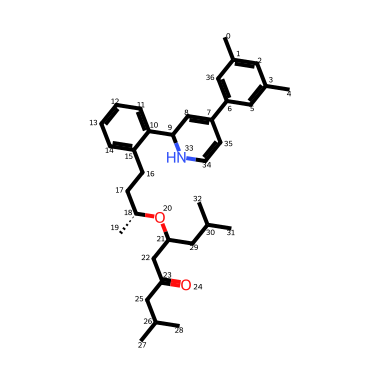 Cc1cc(C)cc(C2=CC(c3ccccc3CC[C@@H](C)OC(CC(=O)CC(C)C)CC(C)C)NC=C2)c1